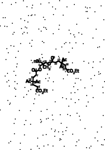 [CH2]C(CCCC)(COC(=O)CCC(CCC(=O)OCC)(C(C)=O)C(C)=O)COC(=O)CCC(CCC(=O)OCC)(C(C)=O)C(C)=O